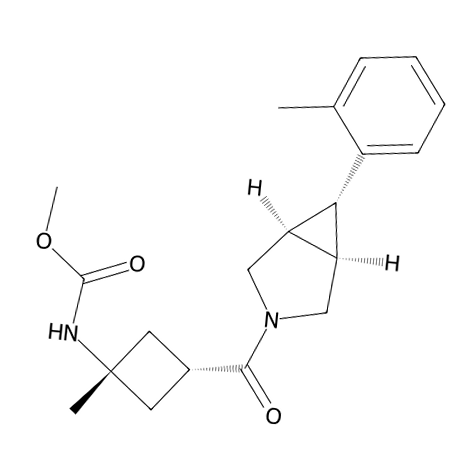 COC(=O)N[C@]1(C)C[C@H](C(=O)N2C[C@@H]3[C@H](C2)[C@H]3c2ccccc2C)C1